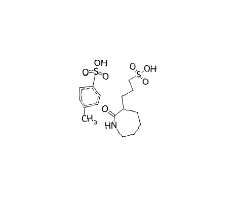 Cc1ccc(S(=O)(=O)O)cc1.O=C1NCCCCC1CCCS(=O)(=O)O